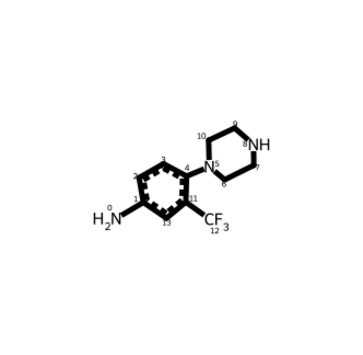 Nc1ccc(N2CCNCC2)c(C(F)(F)F)c1